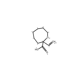 C=CC1(C(=O)O)CCCCCCO1